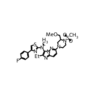 CCc1nc2ccc(N3CCN(S(C)(=O)=O)C(COC)C3)nn2c1N(C)c1nc(-c2ccc(F)cc2)cs1